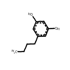 [CH2]CCCc1cc(O)cc(O)c1